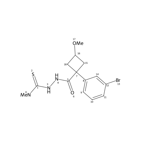 CNC(=S)NNC(=O)C1(c2cccc(Br)c2)CC(OC)C1